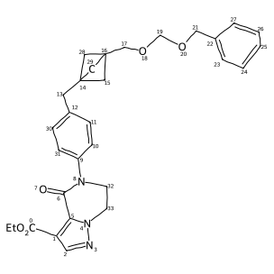 CCOC(=O)c1cnn2c1C(=O)N(c1ccc(CC34CC(COCOCc5ccccc5)(C3)C4)cc1)CC2